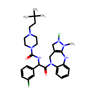 CN1C2=C(CN(C(=O)C(NC(=O)N3CCN(CCC(C)(C)C)CC3)c3cccc(F)c3)c3ccccc3N2)CN1Cl